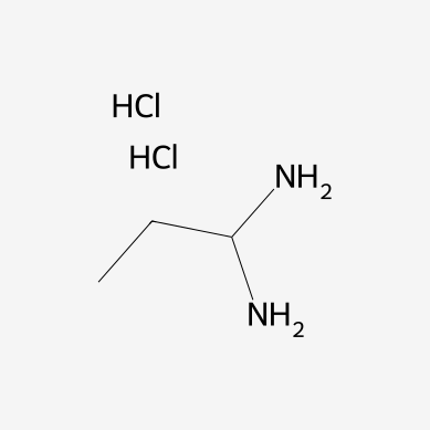 CCC(N)N.Cl.Cl